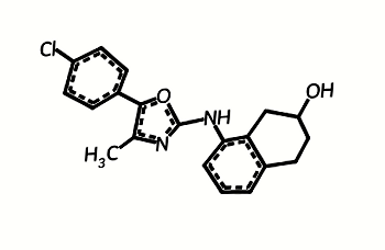 Cc1nc(Nc2cccc3c2CC(O)CC3)oc1-c1ccc(Cl)cc1